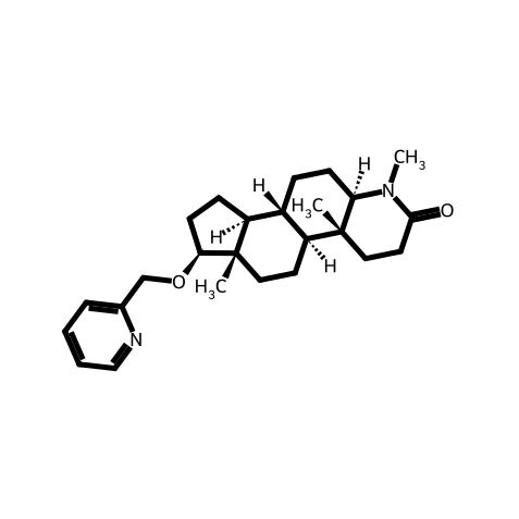 CN1C(=O)CC[C@]2(C)[C@H]3CC[C@]4(C)[C@@H](OCc5ccccn5)CC[C@H]4[C@@H]3CC[C@@H]12